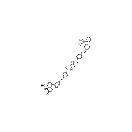 O=C(N[C@H]1C[C@H](NC(=O)c2ccc(COc3cccc([C@](O)(C(=O)O)c4ccccc4)c3)cc2)C1)c1ccc(CCNC[C@H](O)c2ccc(O)c3[nH]c(=O)ccc23)cc1